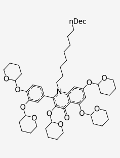 CCCCCCCCCCCCCCCCCCn1c(-c2ccc(OC3CCCCO3)c(OC3CCCCO3)c2)c(OC2CCCCO2)c(=O)c2c(OC3CCCCO3)cc(OC3CCCCO3)cc21